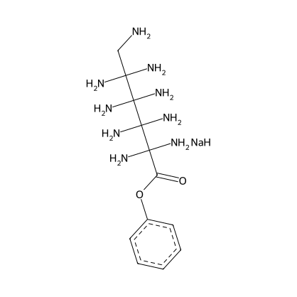 NCC(N)(N)C(N)(N)C(N)(N)C(N)(N)C(=O)Oc1ccccc1.[NaH]